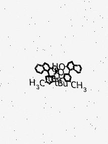 Cc1cc(-c2c(O)ccc3ccccc23)c(Op2oc3ccc4ccccc4c3c3cc(C)cc(C(C)(C)C)c3o2)c(C(C)(C)C)c1